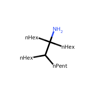 CCCCCCC(CCCCC)C(N)(CCCCCC)CCCCCC